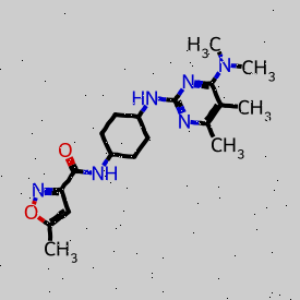 Cc1cc(C(=O)NC2CCC(Nc3nc(C)c(C)c(N(C)C)n3)CC2)no1